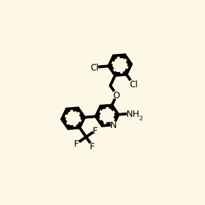 Nc1ncc(-c2ccccc2C(F)(F)F)cc1OCc1c(Cl)cccc1Cl